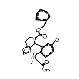 C[C@H](Oc1ccc(Cl)cc1C1c2scnc2CCN1C(=O)OCc1ccccc1)C(=O)O